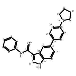 O=C(Nc1ccccc1)c1n[nH]c2ccc(-c3ccc(N4CCCC4)nc3)cc12